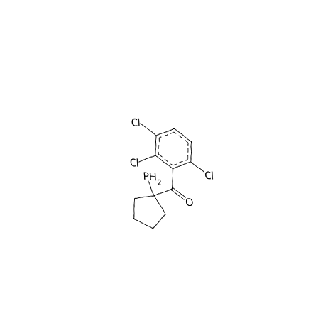 O=C(c1c(Cl)ccc(Cl)c1Cl)C1(P)CCCC1